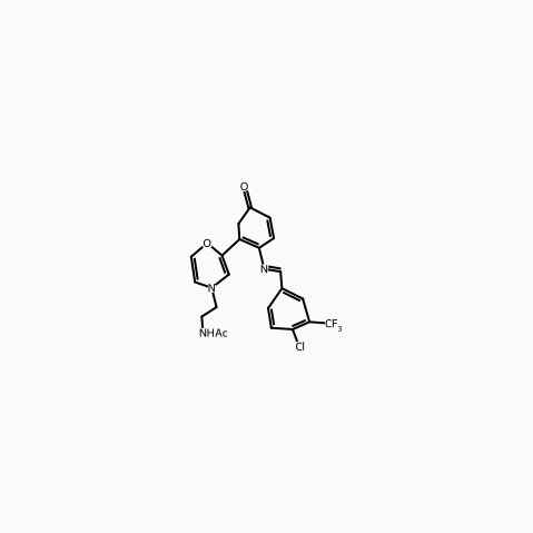 CC(=O)NCCN1C=COC(C2=C(N=Cc3ccc(Cl)c(C(F)(F)F)c3)C=CC(=O)C2)=C1